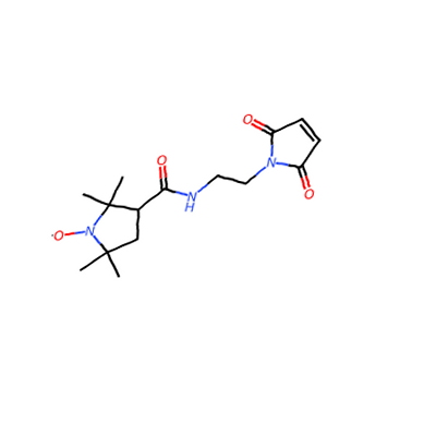 CC1(C)CC(C(=O)NCCN2C(=O)C=CC2=O)C(C)(C)N1[O]